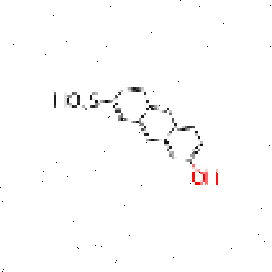 O=S(=O)(O)c1ccc2cc3ccc(O)cc3cc2c1